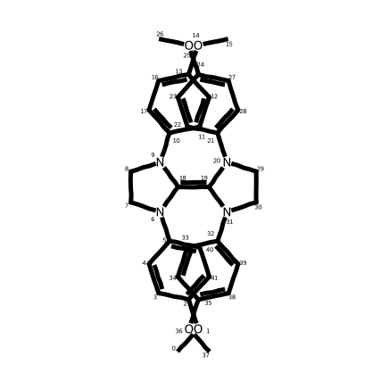 COc1ccc(N2CCN(c3ccc(OC)cc3)C2=C2N(c3ccc(OC)cc3)CCN2c2ccc(OC)cc2)cc1